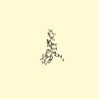 C=N/C(C(=O)Nc1nnc(-c2ccccn2)[nH]1)=C(\OC)c1cccs1